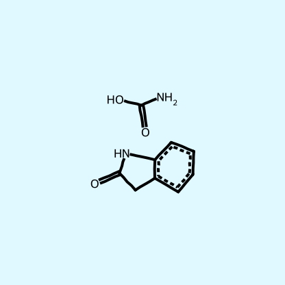 NC(=O)O.O=C1Cc2ccccc2N1